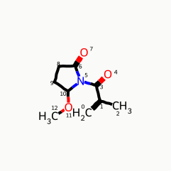 C=C(C)C(=O)N1C(=O)CCC1OC